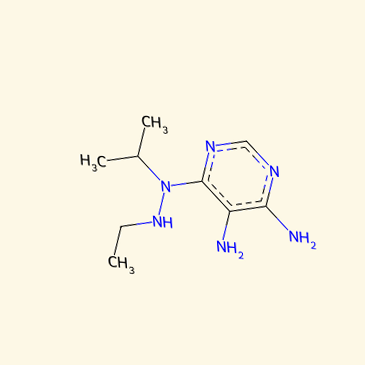 CCNN(c1ncnc(N)c1N)C(C)C